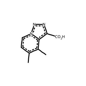 Cc1ccn2nnc(C(=O)O)c2c1C